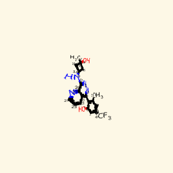 Cc1cc(C(F)(F)F)cc(O)c1-c1nnc(NC2CC(C)(O)C2)c2ncccc12